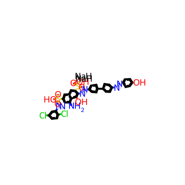 Nc1c(/N=N/c2cc(Cl)ccc2Cl)c(S(=O)(=O)O)cc2cc(S(=O)(=O)O)c(/N=N/c3ccc(-c4ccc(/N=N/c5ccc(O)cc5)cc4)cc3)c(O)c12.[NaH].[NaH]